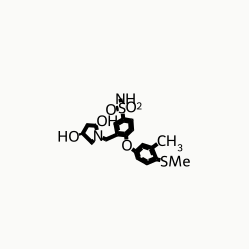 CSc1ccc(Oc2ccc(S(N)(=O)=O)cc2CN2C[C@@H](O)CC2O)cc1C